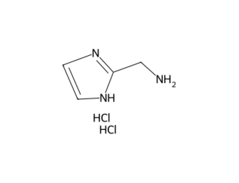 Cl.Cl.NCc1ncc[nH]1